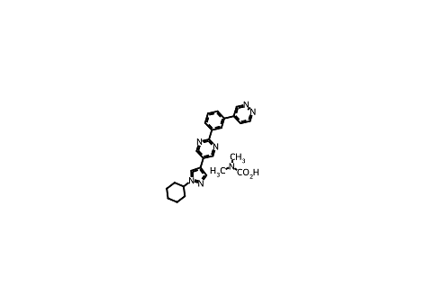 CN(C)C(=O)O.c1cc(-c2ccnnc2)cc(-c2ncc(-c3cnn(C4CCCCC4)c3)cn2)c1